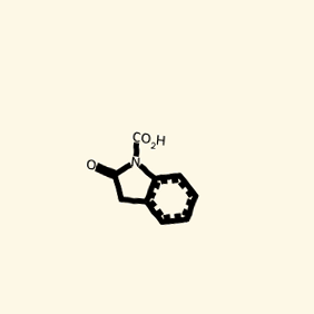 O=C(O)N1C(=O)Cc2ccccc21